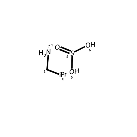 CC(C)CN.O=S(O)O